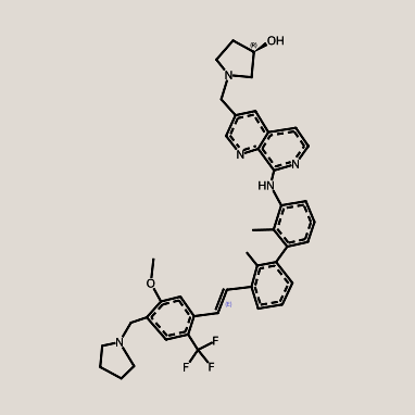 COc1cc(/C=C/c2cccc(-c3cccc(Nc4nccc5cc(CN6CC[C@@H](O)C6)cnc45)c3C)c2C)c(C(F)(F)F)cc1CN1CCCC1